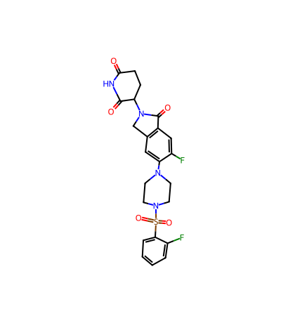 O=C1CCC(N2Cc3cc(N4CCN(S(=O)(=O)c5ccccc5F)CC4)c(F)cc3C2=O)C(=O)N1